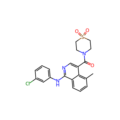 Cc1cccc2c(Nc3cccc(Cl)c3)ncc(C(=O)N3CCS(=O)(=O)CC3)c12